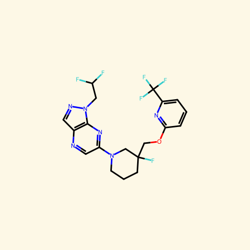 FC(F)Cn1ncc2ncc(N3CCCC(F)(COc4cccc(C(F)(F)F)n4)C3)nc21